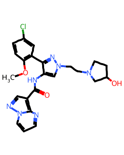 COc1ccc(Cl)cc1-c1nn(CCN2CCC(O)C2)cc1NC(=O)c1cnn2cccnc12